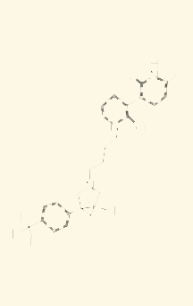 Cc1ccc(-c2cccn(CCCCN3C[C@@H]4C[C@]4(c4ccc(C(F)(F)F)cc4)C3)c2=O)c(=O)[nH]1